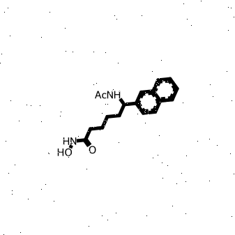 CC(=O)NC(CCCCC(=O)NO)c1ccc2ccccc2c1